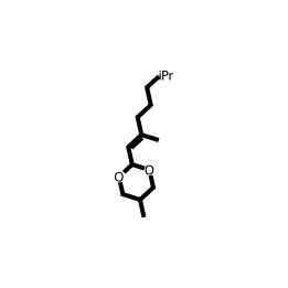 C/C(=C\C1OCC(C)CO1)CCCC(C)C